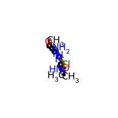 COc1ccc2c(c1)C(N)C1(CCN(c3cnc(Sc4ccc5c(c4Cl)C(=O)N(CC(C)C)CN5)cn3)CC1)C2